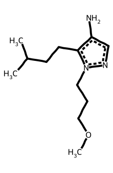 COCCCn1ncc(N)c1CCC(C)C